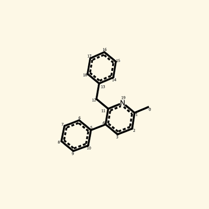 Cc1ccc(-c2ccccc2)c(Cc2ccccc2)n1